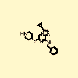 c1ccc(CNc2nc(SC3CCNCC3)cn3c(C4CC4)cnc23)cc1